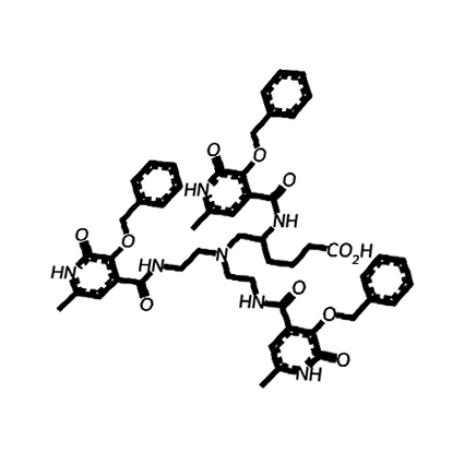 Cc1cc(C(=O)NCCN(CCNC(=O)c2cc(C)[nH]c(=O)c2OCc2ccccc2)CC(CCCC(=O)O)NC(=O)c2cc(C)[nH]c(=O)c2OCc2ccccc2)c(OCc2ccccc2)c(=O)[nH]1